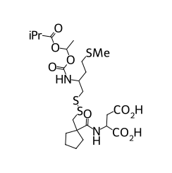 CSCCC(CSSCC1(C(=O)NC(CC(=O)O)C(=O)O)CCCC1)NC(=O)OC(C)OC(=O)C(C)C